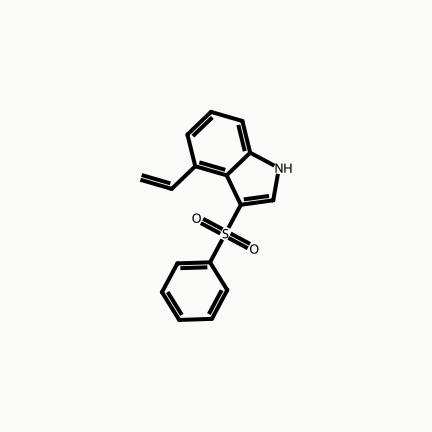 C=Cc1cccc2[nH]cc(S(=O)(=O)c3ccccc3)c12